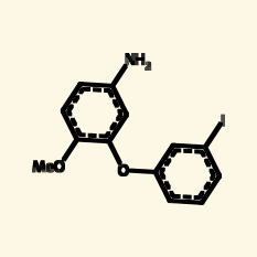 COc1ccc(N)cc1Oc1cccc(I)c1